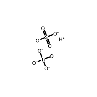 O=S(=O)([O-])[O-].[H+].[O-][Ti]([O-])([O-])[O-]